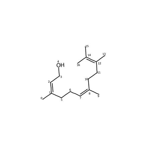 CC(=CCO)CCC=C(C)CCC(C)=C(C)C